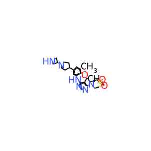 Cc1cc(C2CCN(C3CNC3)CC2)cc2c1O[C@@H](C)c1c(ncnc1N1CCS(=O)(=O)CC1)N2